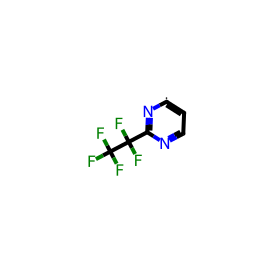 FC(F)(F)C(F)(F)c1n[c]ccn1